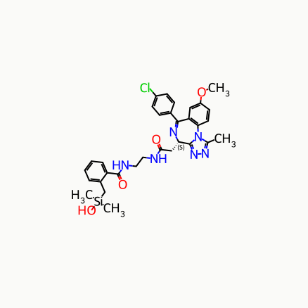 COc1ccc2c(c1)C(c1ccc(Cl)cc1)=N[C@@H](CC(=O)NCCNC(=O)c1ccccc1C[Si](C)(C)O)c1nnc(C)n1-2